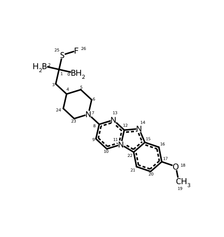 BC(B)(CC1CCN(c2ccn3c(n2)nc2cc(OC)ccc23)CC1)SF